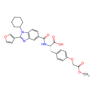 COC(=O)COc1ccc(C[C@H](NC(=O)c2ccc3c(c2)nc(-c2ccoc2)n3C2CCCCC2)C(=O)O)cc1